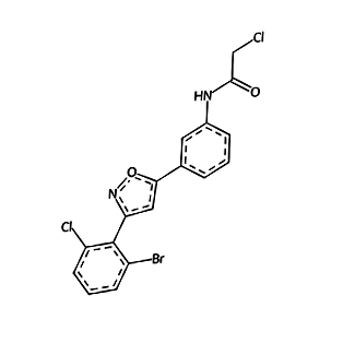 O=C(CCl)Nc1cccc(-c2cc(-c3c(Cl)cccc3Br)no2)c1